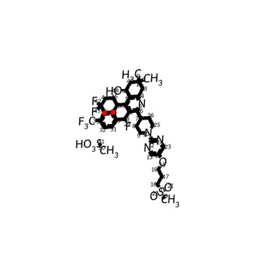 CC1(C)Cc2nc(C3CCN(c4ncc(OCCCS(C)(=O)=O)cn4)CC3)c([C@@H](F)c3ccc(C(F)(F)F)cc3)c(C3CCC(F)(F)CC3)c2[C@@H](O)C1.CS(=O)(=O)O